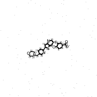 O=[N+]([O-])c1ccc(Oc2ccnc3cc(-c4ccc(CN5CCOCC5)cn4)sc23)c(F)c1